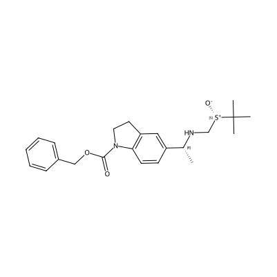 C[C@@H](NC[S@+]([O-])C(C)(C)C)c1ccc2c(c1)CCN2C(=O)OCc1ccccc1